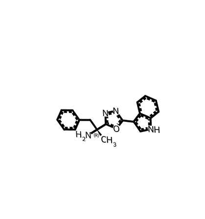 C[C@@](N)(Cc1ccccc1)c1nnc(-c2c[nH]c3ccccc23)o1